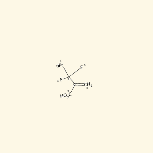 C=C(C(=O)O)C(F)(F)CCC